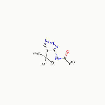 CCCCCC(CC)(CC)c1cnnnc1NC(=O)CCC